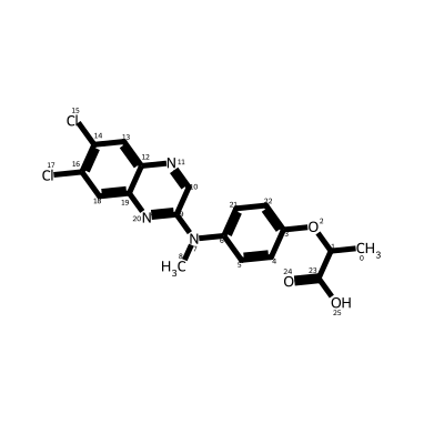 CC(Oc1ccc(N(C)c2cnc3cc(Cl)c(Cl)cc3n2)cc1)C(=O)O